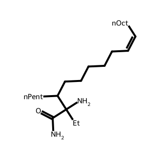 CCCCCCCC/C=C\CCCCCC(CCCCC)C(N)(CC)C(N)=O